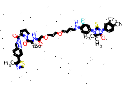 Cc1ncsc1-c1ccc(CNC(=O)[C@@H]2CCCN2C(=O)C(NC(=O)COCCCOCCCCNc2ccc(N3C(=S)N(c4ccc(C#N)c(C(F)(F)F)c4)C(=O)C3(C)C)cc2F)C(C)(C)C)cc1